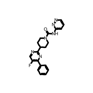 O=C(Nc1cccnn1)N1CCC(c2ncc(F)c(-c3ccccc3)n2)CC1